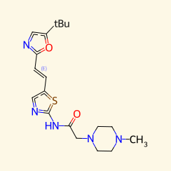 CN1CCN(CC(=O)Nc2ncc(/C=C/c3ncc(C(C)(C)C)o3)s2)CC1